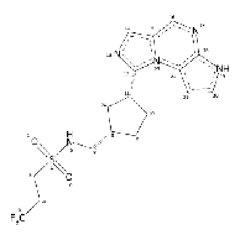 O=S(=O)(CCC(F)(F)F)NC[C@H]1CC[C@@H](c2ncc3cnc4[nH]ccc4n23)C1